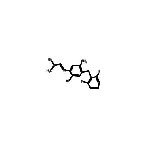 CCN(C)C=Nc1cc(C)c(Cc2c(F)cccc2F)cc1Cl